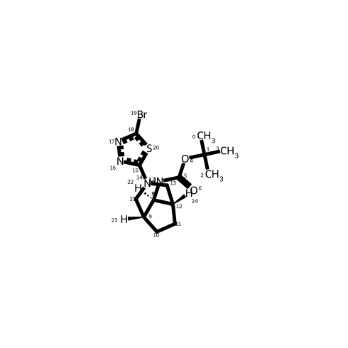 CC(C)(C)OC(=O)N[C@@H]1[C@@H]2CC[C@H]1CN(c1nnc(Br)s1)C2